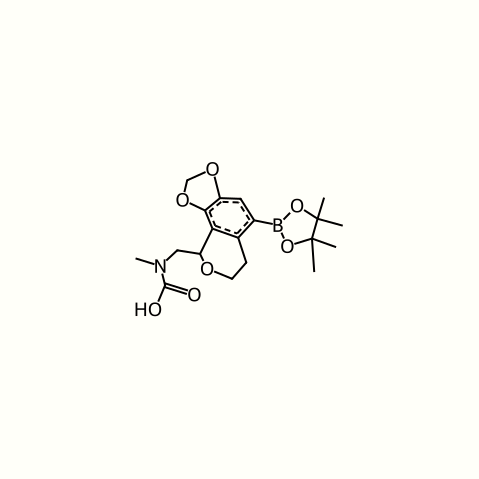 CN(CC1OCCc2c(B3OC(C)(C)C(C)(C)O3)cc3c(c21)OCO3)C(=O)O